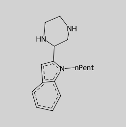 CCCCCn1c(C2CNCCN2)cc2ccccc21